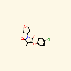 CC1=C(Oc2ccc(Cl)cc2)C(=O)N(C2CCOCC2)C1=O